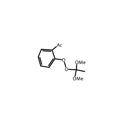 COC(C)(OC)OOc1ccccc1C(C)=O